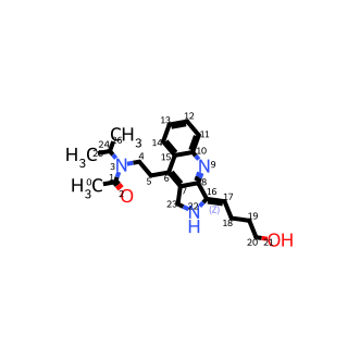 CC(=O)N(CCc1c2c(nc3ccccc13)/C(=C/CCCO)NC2)C(C)C